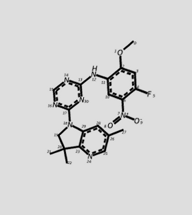 COc1cc(F)c([N+](=O)[O-])cc1Nc1ncnc(N2CC(C)(C)c3ncc(C)cc32)n1